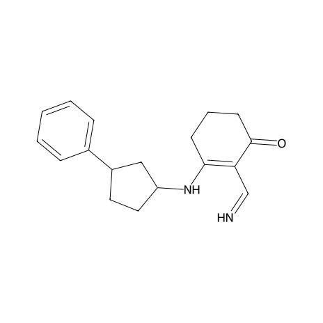 N=CC1=C(NC2CCC(c3ccccc3)C2)CCCC1=O